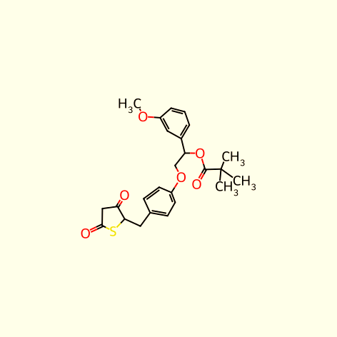 COc1cccc(C(COc2ccc(CC3SC(=O)CC3=O)cc2)OC(=O)C(C)(C)C)c1